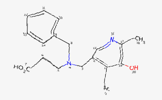 CC(=O)c1c(CN(CCC(=O)O)Cc2ccccc2)cnc(C)c1O